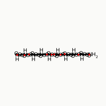 CC(=O)NCCOCCOCC(=O)NCCOCCOCC(=O)NCCOCCOCC(=O)NCCOCCOCC(=O)NCCOCCOCC(=O)NCCOCCOCC(=O)NCCOCCOCC(=O)NCCOCCOCC(=O)NCCOCCOCC(N)=O